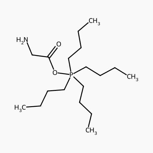 CCCCP(CCCC)(CCCC)(CCCC)OC(=O)CN